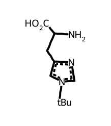 CC(C)(C)n1cnc(CC(N)C(=O)O)c1